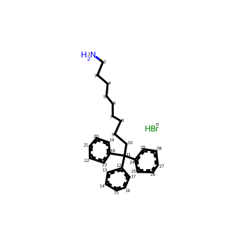 Br.NCCCCCCCCCC(c1ccccc1)(c1ccccc1)c1ccccc1